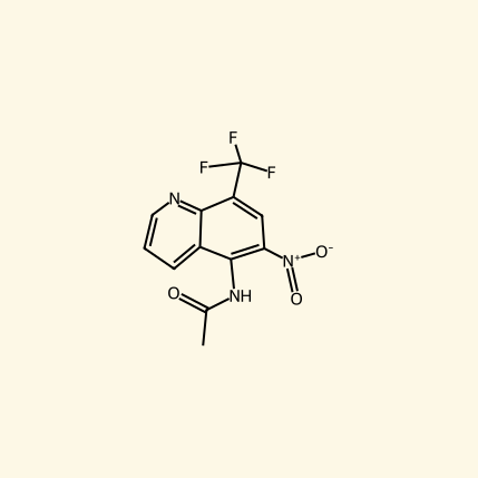 CC(=O)Nc1c([N+](=O)[O-])cc(C(F)(F)F)c2ncccc12